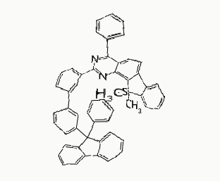 C[Si]1(C)c2ccccc2-c2ccc3c(-c4ccccc4)nc(-c4cccc(-c5cccc(C6(c7ccccc7)c7ccccc7-c7ccccc76)c5)c4)nc3c21